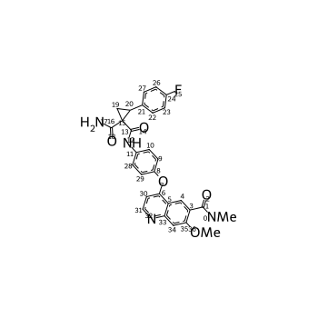 CNC(=O)c1cc2c(Oc3ccc(NC(=O)C4(C(N)=O)CC4c4ccc(F)cc4)cc3)ccnc2cc1OC